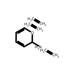 C=C.C=C.C=C.NC1C=CC=CO1